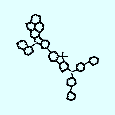 CC1(C)c2cc(-c3ccc4c5c6ccc7cccc8ccc(cc5n(-c5cccc9ccccc59)c4c3)c6c87)ccc2-c2ccc(N(c3ccc(-c4ccccc4)cc3)c3ccc(-c4ccccc4)cc3)cc21